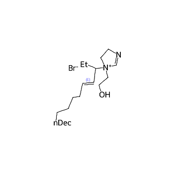 CCCCCCCCCCCCCC/C=C/C(CC)[N+]1(CCO)C=NCC1.[Br-]